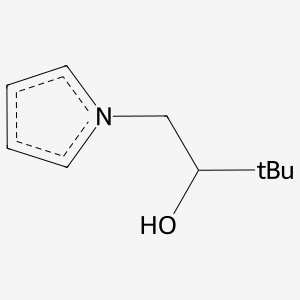 CC(C)(C)C(O)Cn1cccc1